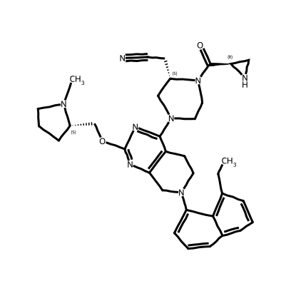 CCc1cccc2cccc(N3CCc4c(nc(OC[C@@H]5CCCN5C)nc4N4CCN(C(=O)[C@H]5CN5)[C@@H](CC#N)C4)C3)c12